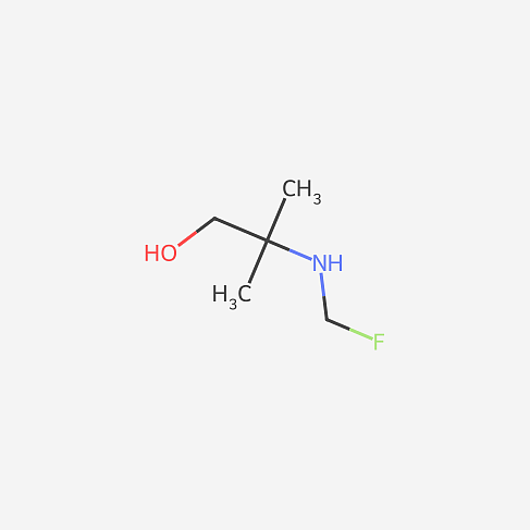 CC(C)(CO)NCF